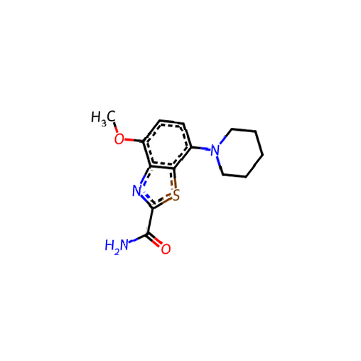 COc1ccc(N2CCCCC2)c2sc(C(N)=O)nc12